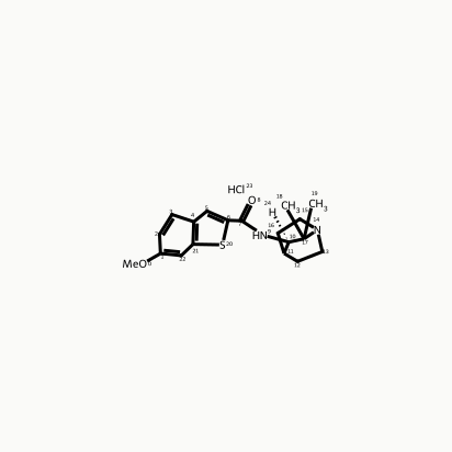 COc1ccc2cc(C(=O)N[C@@H]3C4CCN(CC4)C3(C)C)sc2c1.Cl